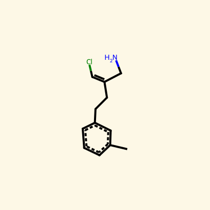 Cc1cccc(CCC(=CCl)CN)c1